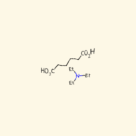 CCN(CC)CC.O=C(O)CCCCC(=O)O